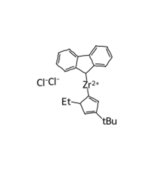 CCC1C=C(C(C)(C)C)C=[C]1[Zr+2][CH]1c2ccccc2-c2ccccc21.[Cl-].[Cl-]